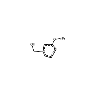 CCCOc1cccc([CH]O)c1